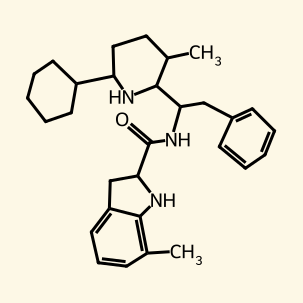 Cc1cccc2c1NC(C(=O)NC(Cc1ccccc1)C1NC(C3CCCCC3)CCC1C)C2